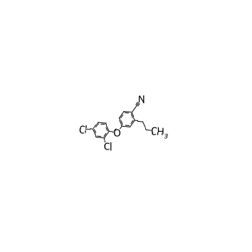 CCCc1cc(Oc2ccc(Cl)cc2Cl)ccc1C#N